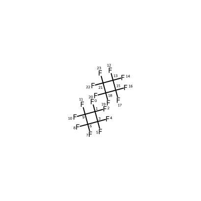 FC1(F)C(F)(F)C(F)(F)C1(F)F.FC1(F)C(F)(F)C(F)(F)C1(F)F